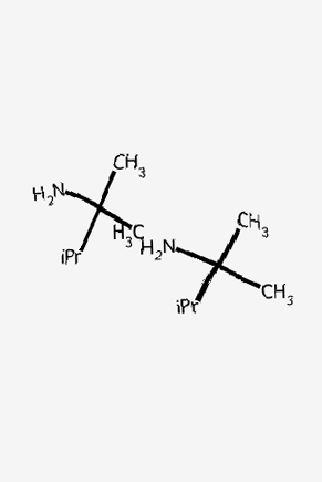 CC(C)C(C)(C)N.CC(C)C(C)(C)N